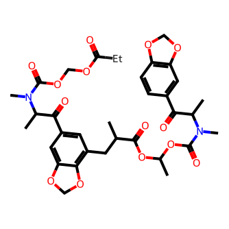 CCC(=O)OCOC(=O)N(C)C(C)C(=O)c1cc(CC(C)C(=O)OC(C)OC(=O)N(C)C(C)C(=O)c2ccc3c(c2)OCO3)c2c(c1)OCO2